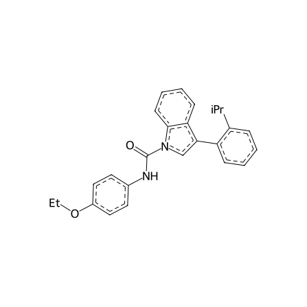 CCOc1ccc(NC(=O)n2cc(-c3ccccc3C(C)C)c3ccccc32)cc1